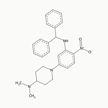 CN(C)C1CCN(c2ccc([N+](=O)[O-])c(NC(c3ccccc3)c3ccccc3)c2)CC1